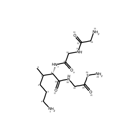 CC(CCCN)[C@H](NC(=O)CNC(=O)CN)C(=O)NCC(=O)SN